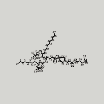 CCCCCCCCCCC(CN(CCCC(=O)Oc1ccc(/C=C/C(=O)OCCCN(C)C)cc1)CC(CCCCCCCCCC)O[Si](C)(C)C(C)(C)C)O[Si](C)(C)C(C)(C)C